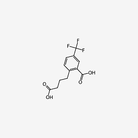 O=C(O)CCCc1ccc(C(F)(F)F)cc1C(=O)O